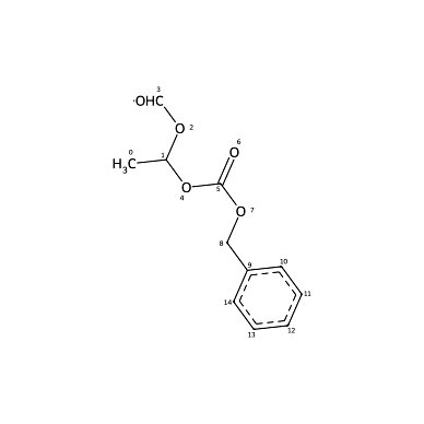 CC(O[C]=O)OC(=O)OCc1ccccc1